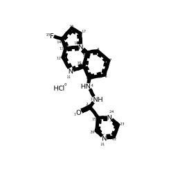 Cl.O=C(NNc1cccc2c1ncc1c(F)ccn12)c1cnccn1